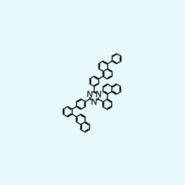 c1ccc(-c2cccc3c(-c4cccc(-c5nc(-c6ccc(-c7ccccc7-c7ccc8ccccc8c7)cc6)nc(-c6ccccc6-c6cccc7ccccc67)n5)c4)cccc23)cc1